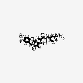 Cc1c(=O)n(Cc2ccc(Br)c(F)c2)c(=O)n2cc(C(=O)NCc3ccnc(N)c3)sc12